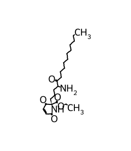 CCCCCCCCCCCC(=O)C(N)CCC[C@@]1(C(=O)OCC)NC(=O)C=CC1=O